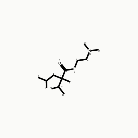 CC(C)CC(C)(C(=O)OCCN(C)C)C(C)C